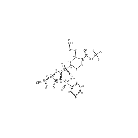 CC(C)(C)OC(=O)N1CCN(S(=O)(=O)c2cc3cc(Cl)ccc3n2S(=O)(=O)c2ccccc2)CC1CCO